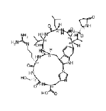 CC(C)C[C@@H]1NC(=O)[C@@H](NC(=O)[C@@H]2CCC(=O)N2)[C@H](C(C)C)c2ccc3c4c([nH]c3c2)-n2cnc(c2)C[C@@H](C(=O)O)NC(=O)[C@H](CO)NC(=O)[C@H](CCCN=C(N)N)NC(=O)[C@H](C4)NC(=O)[C@H](C(C)C)NC1=O